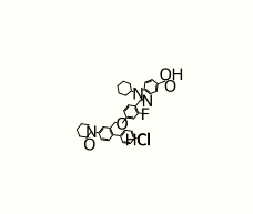 Cl.O=C(O)c1ccc2c(c1)nc(-c1ccc(OCc3cc(N4CCCCC4=O)ccc3-c3ccc(Cl)cc3)cc1F)n2C1CCCCC1